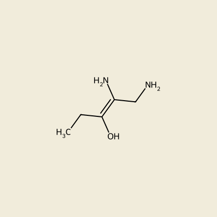 CCC(O)=C(N)CN